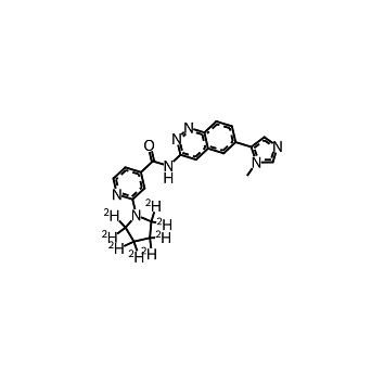 [2H]C1([2H])N(c2cc(C(=O)Nc3cc4cc(-c5cncn5C)ccc4nn3)ccn2)C([2H])([2H])C([2H])([2H])C1([2H])[2H]